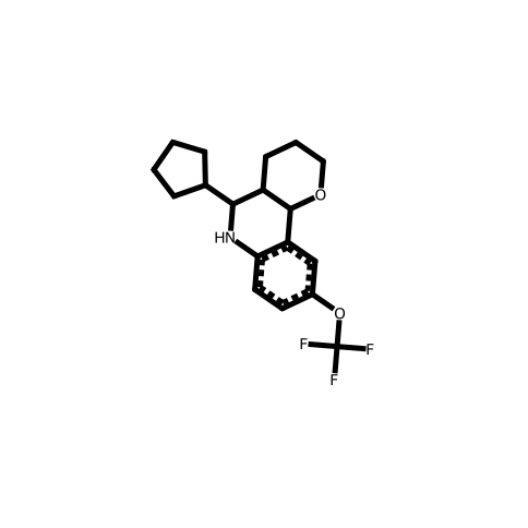 FC(F)(F)Oc1ccc2c(c1)C1OCCCC1C(C1CCCC1)N2